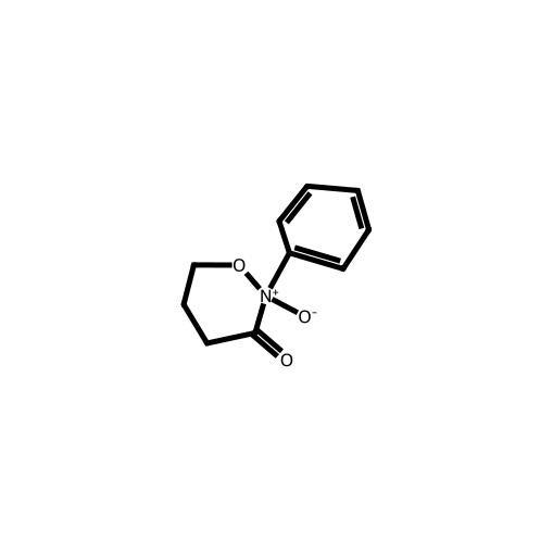 O=C1CCCO[N+]1([O-])c1ccccc1